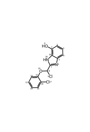 Oc1cccc2nc(C(Cl)Oc3ccccc3Cl)[nH]c12